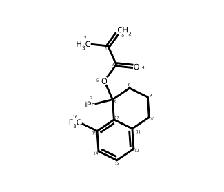 C=C(C)C(=O)OC1(C(C)C)CCCc2cccc(C(F)(F)F)c21